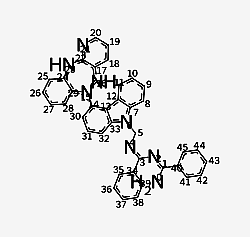 N/C(=N\C(=N/Cn1c2ccccc2c2c(-n3[nH]c4cccnc4[nH]c4ccccc43)cccc21)c1ccccc1)c1ccccc1